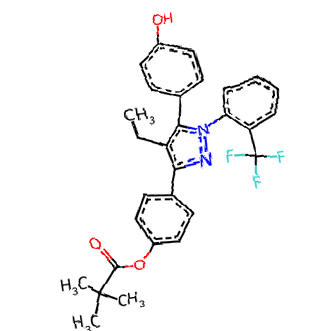 CCc1c(-c2ccc(OC(=O)C(C)(C)C)cc2)nn(-c2ccccc2C(F)(F)F)c1-c1ccc(O)cc1